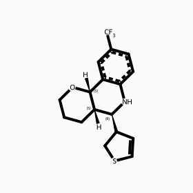 FC(F)(F)c1ccc2c(c1)[C@H]1OCCC[C@H]1[C@H](C1C=CSC1)N2